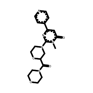 Cn1c(N2CCOC(C(=O)N3CCOCC3)C2)nc(-c2ccncc2)cc1=O